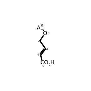 CC(=O)OCC=CC(=O)O